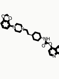 O=C(N[C@H]1CC[C@H](CCN2CCN(c3cccc4c3OCO4)CC2)CC1)Oc1ccnc2ccccc12